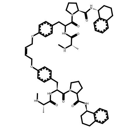 CN[C@@H](C)C(=O)NC(Cc1ccc(OC/C=C\COc2ccc(C[C@H](NC(=O)[C@H](C)NC)C(=O)N3CCCC3C(=O)N[C@@H]3CCCc4ccccc43)cc2)cc1)C(=O)N1CCC[C@H]1C(=O)N[C@@H]1CCCc2ccccc21